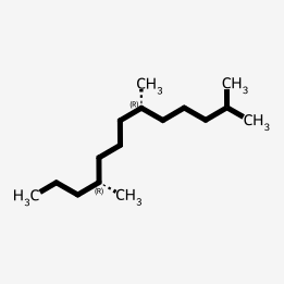 CCC[C@@H](C)CCC[C@H](C)CCCC(C)C